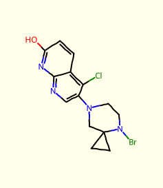 Oc1ccc2c(Cl)c(N3CCN(Br)C4(CC4)C3)cnc2n1